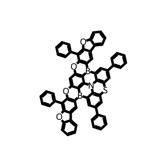 c1ccc(-c2cc3c4c(c2)B2c5cc6c(oc7ccccc76)c(-c6ccccc6)c5Oc5cc6c7c(c52)N4c2c(cc(-c4ccccc4)cc2B7c2cc4c(oc5ccccc54)c(-c4ccccc4)c2O6)S3)cc1